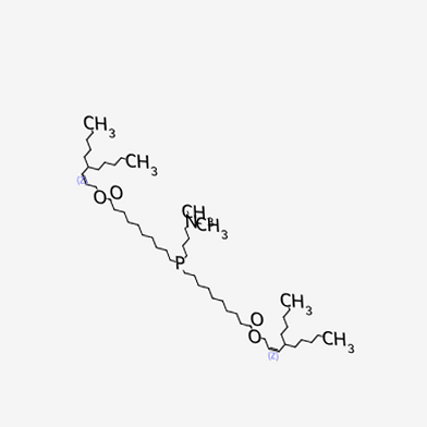 CCCCCC(/C=C\COC(=O)CCCCCCCCCP(CCCCCCCCCC(=O)OC/C=C\C(CCCCC)CCCCC)CCCCN(C)C)CCCCC